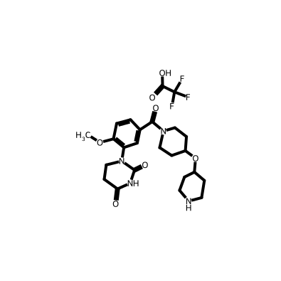 COc1ccc(C(=O)N2CCC(OC3CCNCC3)CC2)cc1N1CCC(=O)NC1=O.O=C(O)C(F)(F)F